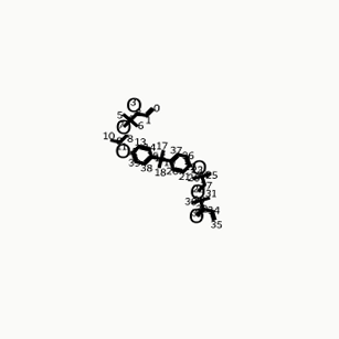 C=CC(=O)C(C)(C)OCC(C)Oc1ccc(C(C)(C)c2ccc(OC(C)(C)COC(C)(C)C(=O)C=C)cc2)cc1